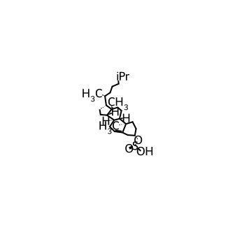 CC(C)CCC[C@@H](C)[C@H]1CC[C@H]2[C@@H]3CC=C4C[C@@H](OS(=O)O)CC[C@]4(C)[C@H]3CC[C@]12C